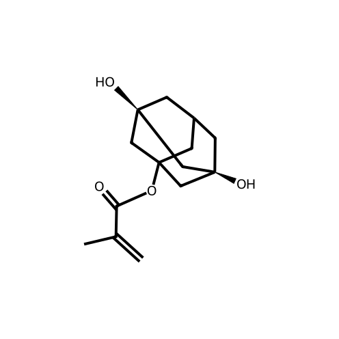 C=C(C)C(=O)OC12CC3C[C@@](O)(C1)C[C@](O)(C3)C2